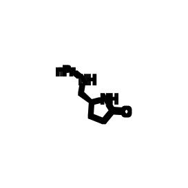 CCCNC[C@@H]1CCC(=O)N1